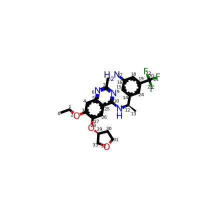 CCOc1cc2nc(C)nc(N[C@H](C)c3cc(N)cc(C(F)(F)F)c3)c2cc1O[C@H]1CCOC1